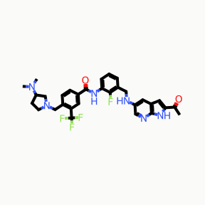 CC(=O)c1cc2cc(NCc3cccc(NC(=O)c4ccc(CN5CCC(N(C)C)C5)c(C(F)(F)F)c4)c3F)cnc2[nH]1